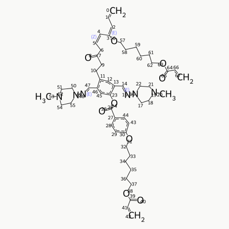 C=C/C=C(\C=C/CC(=O)CCc1cc(/C=N/N2CCN(C)CC2)c(OC(=O)c2ccc(OCCCCCCOC(=O)C=C)cc2)cc1/C=N/N1CCN(C)CC1)OCCCCCCOC(=O)C=C